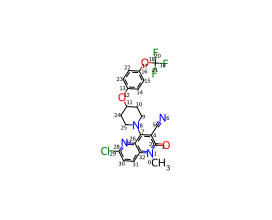 Cn1c(=O)c(C#N)c(N2CCC(Oc3ccc(OC(F)(F)F)cc3)CC2)c2nc(Cl)ccc21